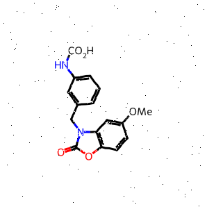 COc1ccc2oc(=O)n(Cc3cccc(NC(=O)O)c3)c2c1